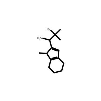 CC1C(C([SiH3])C(C)(C)C(C)C)=CC2=C1CCCC2